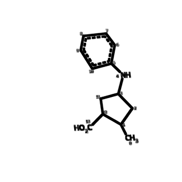 CC1CC(Nc2ccccc2)CC1C(=O)O